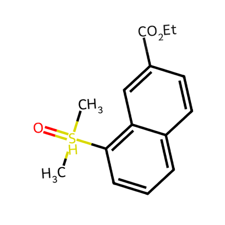 CCOC(=O)c1ccc2cccc([SH](C)(C)=O)c2c1